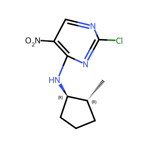 C[C@@H]1CCC[C@H]1Nc1nc(Cl)ncc1[N+](=O)[O-]